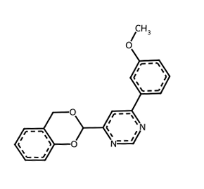 COc1cccc(-c2cc(C3OCc4ccccc4O3)ncn2)c1